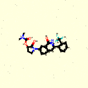 CN(C)C(=O)OC1CCN(c2ccc3cc(-c4ccccc4C(F)(F)F)[nH]c(=O)c3c2)C1=O